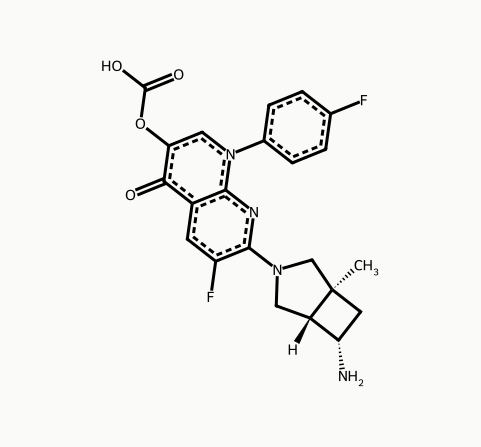 C[C@]12C[C@H](N)[C@@H]1CN(c1nc3c(cc1F)c(=O)c(OC(=O)O)cn3-c1ccc(F)cc1)C2